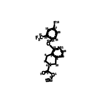 CC(C)(C)OC(=O)N1CCc2c(ccnc2Oc2ccc(F)cc2C(F)(F)F)C1